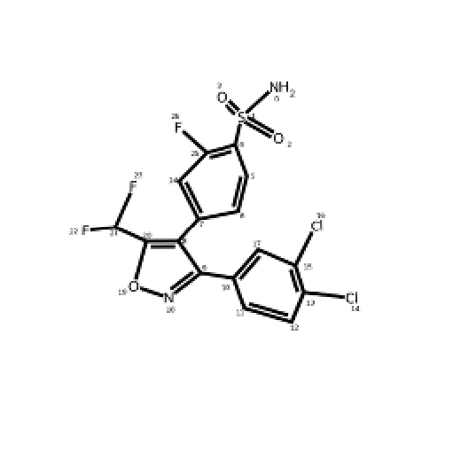 NS(=O)(=O)c1ccc(-c2c(-c3ccc(Cl)c(Cl)c3)noc2C(F)F)cc1F